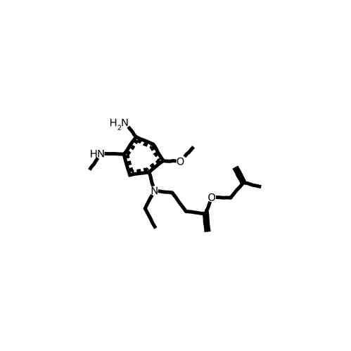 C=C(C)COC(=C)CCN(CC)c1cc(NC)c(N)cc1OC